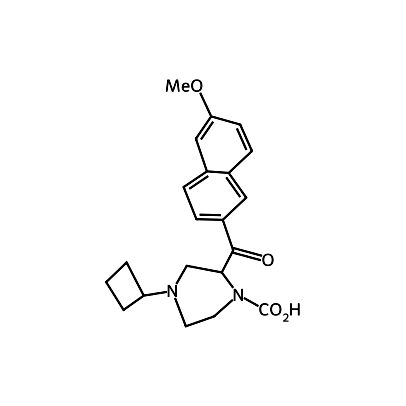 COc1ccc2cc(C(=O)C3CN(C4CCC4)CCN3C(=O)O)ccc2c1